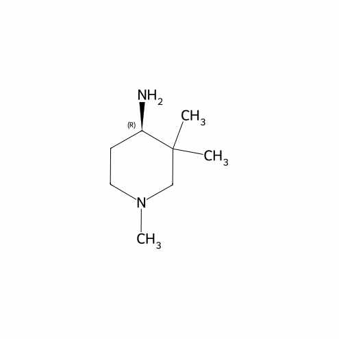 CN1CC[C@@H](N)C(C)(C)C1